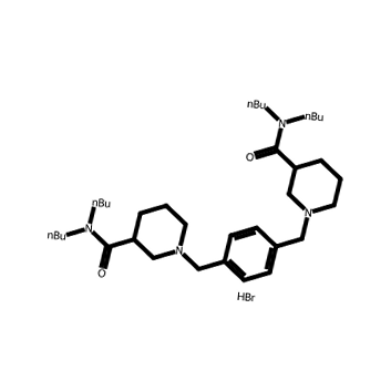 Br.CCCCN(CCCC)C(=O)C1CCCN(Cc2ccc(CN3CCCC(C(=O)N(CCCC)CCCC)C3)cc2)C1